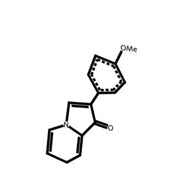 COc1ccc(C2=CN3C=CCC=C3C2=O)cc1